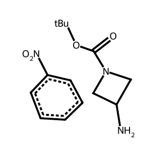 CC(C)(C)OC(=O)N1CC(N)C1.O=[N+]([O-])c1ccccc1